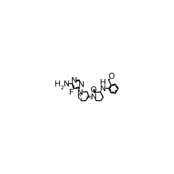 Nc1ncnc(N2CCC[C@@H](N3CCCC(Nc4ccccc4C=O)C3=O)C2)c1F